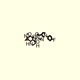 O=C(c1cnco1)C1C(C2CC2)NCCC1(O)Cn1cnc2c(ccn2-c2ccc(F)cc2)c1=O